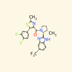 Cc1nc(C(=O)N2CC[C@H](C)[C@H]2c2nc3cc(C(F)(F)F)ccc3[nH]2)c(-c2ccc(F)c(F)c2)s1